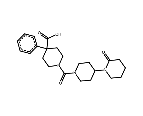 O=C(N1CCC(N2CCCCC2=O)CC1)N1CCC(C(=O)O)(c2ccccc2)CC1